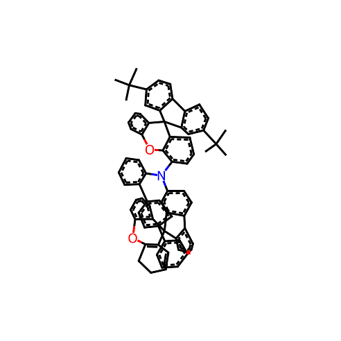 CC(C)(C)c1ccc2c(c1)C1(c3ccccc3Oc3c(N(c4ccc5c(c4)C4(C6=C(CCC=C6)Oc6ccccc64)c4ccccc4-5)c4ccccc4-c4ccc(-c5ccccc5)cc4)cccc31)c1cc(C(C)(C)C)ccc1-2